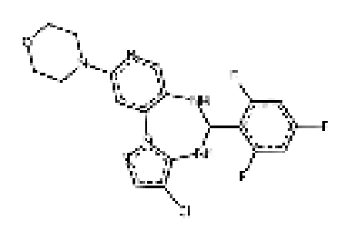 Fc1cc(F)c(C2Nc3cnc(N4CCOCC4)cc3-n3ncc(Cl)c3N2)c(F)c1